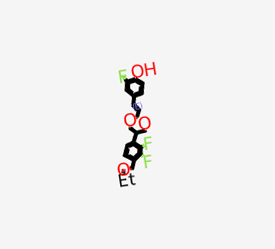 CCOCc1ccc(C2COC(/C=C/c3ccc(O)c(F)c3)OC2)c(F)c1F